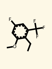 CCc1c(OC)cc(F)cc1C(F)(F)F